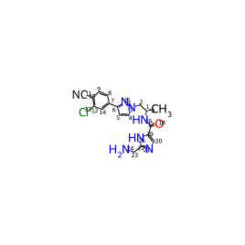 C[C@H](Cn1ccc(-c2ccc(C#N)c(Cl)c2)n1)NC(=O)c1cnc(CN)[nH]1